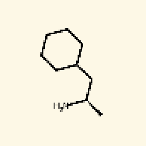 [CH2][C@@H](N)CC1CCCCC1